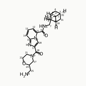 CC1(C)[C@H]2CC[C@@H](CNC(=O)c3cccc4nc(C(=O)N5CCOC(CN)C5)cn34)[C@H]1C2